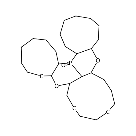 O=P12C3CCCCCCCC3OC3CCCCCCCCC(OC4CCCCCCCC41)C32